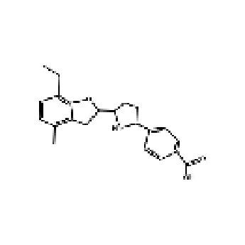 CCc1ccc(C)c2c1OC(C1CCC(c3ccc(C(=O)O)cc3)N1)C2